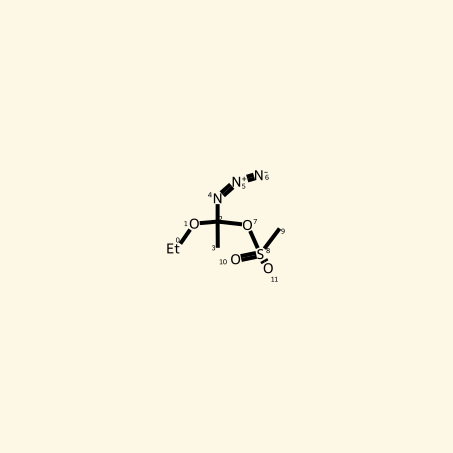 CCOC(C)(N=[N+]=[N-])OS(C)(=O)=O